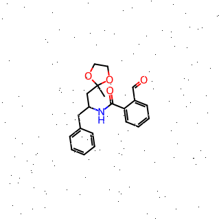 CC1(CC(Cc2ccccc2)NC(=O)c2ccccc2C=O)OCCO1